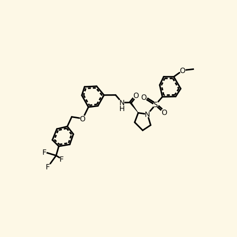 COc1ccc(S(=O)(=O)N2CCC[C@H]2C(=O)NCc2cccc(OCc3ccc(C(F)(F)F)cc3)c2)cc1